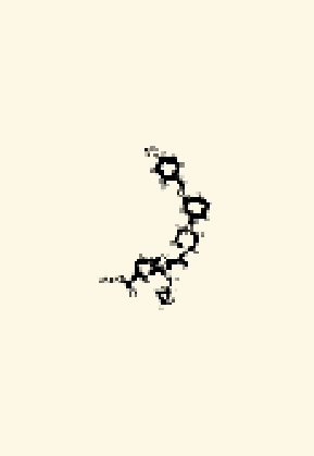 COC(=O)c1ccc2nc(C(C)N3CCN(c4cccc(OCc5ccc(C#N)cc5F)n4)CC3)n(C[C@@H]3CCO3)c2n1